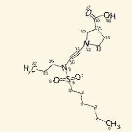 CCCCCCS(=O)(=O)N(C#CN1CCC(C(=O)O)C1)CCC